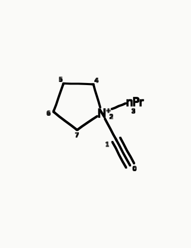 C#C[N+]1(CCC)CCCC1